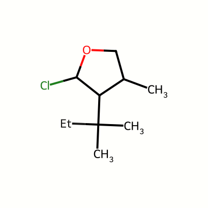 CCC(C)(C)C1C(C)COC1Cl